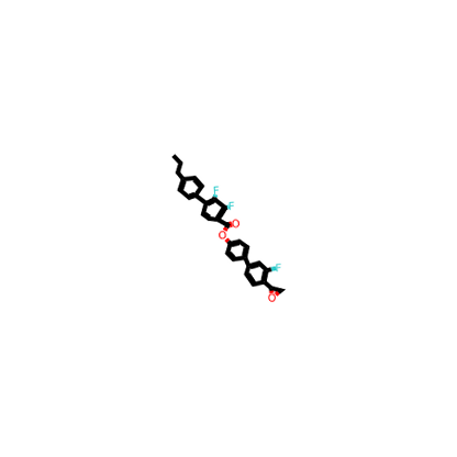 CCCc1ccc(-c2ccc(C(=O)Oc3ccc(-c4ccc(C5CO5)c(F)c4)cc3)c(F)c2F)cc1